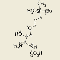 CC(C)(C)[Si](C)(C)CCCOCC(O)C(N)NC(=O)O